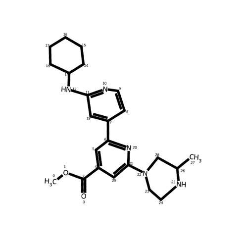 COC(=O)c1cc(-c2ccnc(NC3CCCCC3)c2)nc(N2CCNC(C)C2)c1